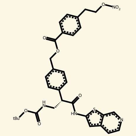 CC(C)(C)OC(=O)NC[C@@H](C(=O)Nc1cc2ccncc2s1)c1ccc(COC(=O)c2ccc(CCO[N+](=O)[O-])cc2)cc1